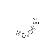 O=S(=O)(C=C[C@@H](O)CO)c1ccc(Oc2ccc(OC(F)(F)F)cc2)cc1